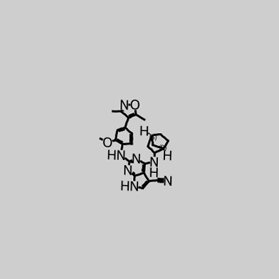 COc1cc(-c2c(C)noc2C)ccc1Nc1nc(NC2C[C@H]3CC[C@@H]2C3)c2c(C#N)c[nH]c2n1